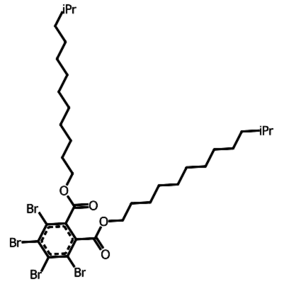 CC(C)CCCCCCCCCCOC(=O)c1c(Br)c(Br)c(Br)c(Br)c1C(=O)OCCCCCCCCCCC(C)C